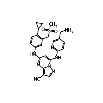 CS(=O)(=O)Cc1cc(Nc2cc(Nc3ccc(CN)cn3)n3ncc(C#N)c3n2)ccc1C1CC1